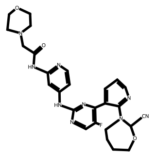 N#CC1OCCCCN1c1ncccc1-c1nc(Nc2ccnc(NC(=O)CN3CCOCC3)c2)ncc1F